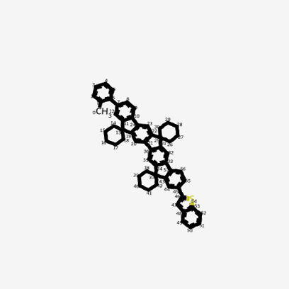 Cc1ccccc1-c1ccc2c(c1)C1(CCCCC1)c1cc3c(cc1-2)C1(CCCCC1)c1cc2c(cc1-3)C1(CCCCC1)c1cc(-c3cc4ccccc4s3)ccc1-2